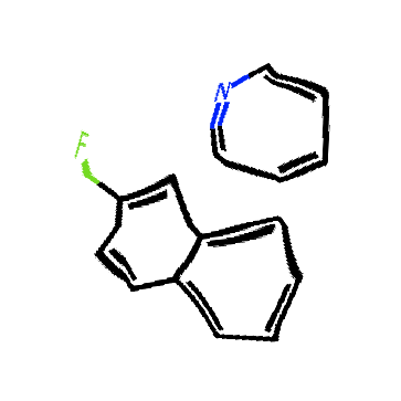 Fc1ccc2ccccc2c1.c1ccncc1